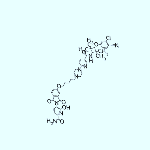 CC1(C)C(NC(=O)c2ccc(N3CCN(CCCCCOc4ccc5c(c4)C(=O)N(c4ccc(C(N)=O)nc4O)C5=O)CC3)nc2)C(C)(C)C1Oc1ccc(C#N)c(Cl)c1